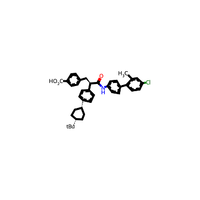 Cc1cc(Cl)ccc1-c1ccc(NC(=O)[C@H](Cc2ccc(C(=O)O)cc2)c2ccc([C@H]3CC[C@@H](C(C)(C)C)CC3)cc2)cc1